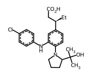 CC[C@H](CC(=O)O)c1ccc(N2CCCC2C(C)(C)O)c(Nc2ccc(Cl)cc2)c1